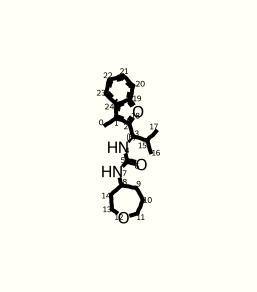 Cc1c([C@H](NC(=O)NC2CCCOCC2)C(C)C)oc2ccccc12